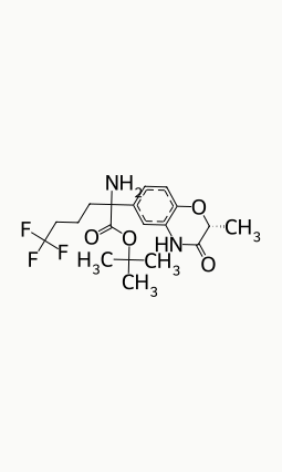 C[C@H]1Oc2ccc(C(N)(CCCC(F)(F)F)C(=O)OC(C)(C)C)cc2NC1=O